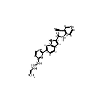 C=CNNNc1ccnc(-c2ccc3cc(C(=O)Nc4ccncc4C#N)[nH]c3c2)n1